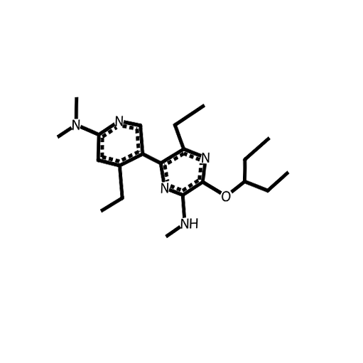 CCc1cc(N(C)C)ncc1-c1nc(NC)c(OC(CC)CC)nc1CC